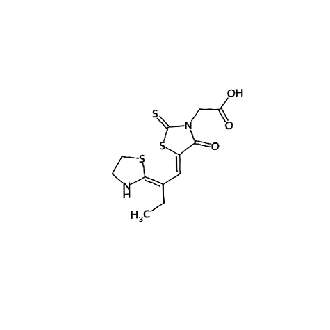 CCC(C=C1SC(=S)N(CC(=O)O)C1=O)=C1NCCS1